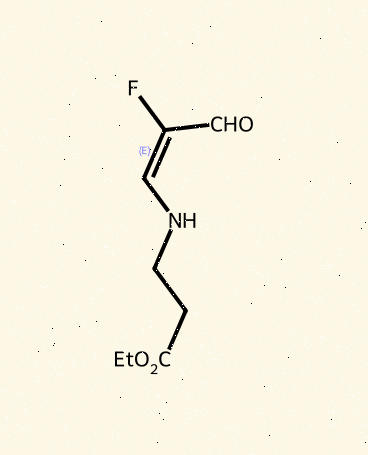 CCOC(=O)CCN/C=C(/F)C=O